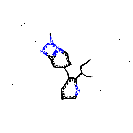 CCC(C)c1ncccc1-c1ccn2c(c1)nn2C